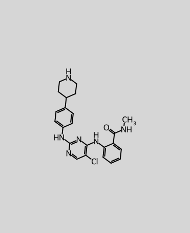 CNC(=O)c1ccccc1Nc1nc(Nc2ccc(C3CCNCC3)cc2)ncc1Cl